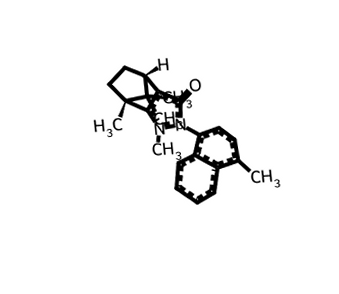 Cc1ccc(-n2c(=O)c3c(n2C)[C@]2(C)CC[C@H]3C2(C)C)c2ccccc12